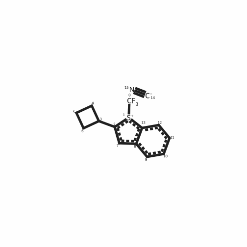 FC(F)(F)[s+]1c(C2CCC2)cc2ccccc21.[C-]#N